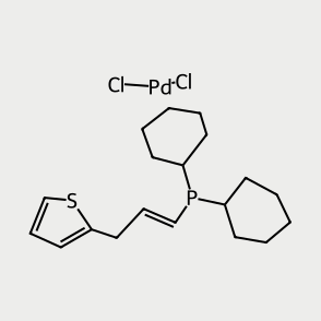 C(=CP(C1CCCCC1)C1CCCCC1)Cc1cccs1.[Cl][Pd][Cl]